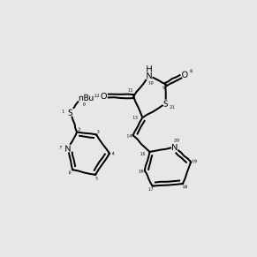 CCCCSc1ccccn1.O=C1NC(=O)C(=Cc2ccccn2)S1